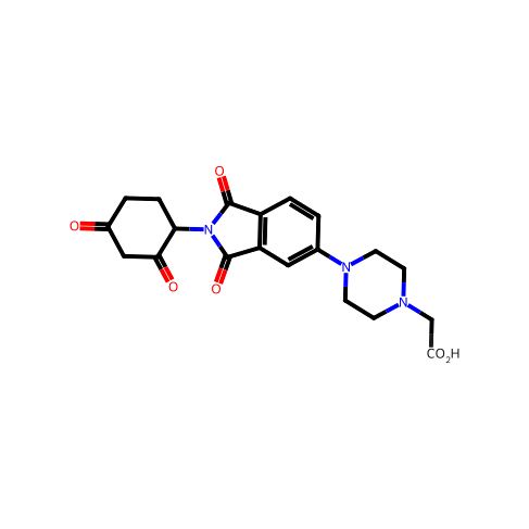 O=C(O)CN1CCN(c2ccc3c(c2)C(=O)N(C2CCC(=O)CC2=O)C3=O)CC1